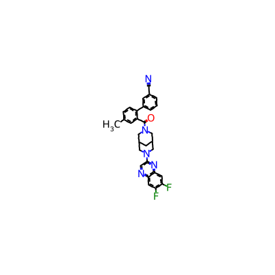 Cc1ccc(-c2cccc(C#N)c2)c(C(=O)N2CC3CC(C2)CN(c2cnc4cc(F)c(F)cc4n2)C3)c1